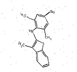 Cc1cc(C(C)(C)C)cc(C)c1Bc1sc2ccccc2c1C